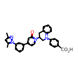 Cc1cc(C)n(-c2cccc(-c3ccn(C(CNc4ccc(C(=O)O)cc4)Cc4ccccc4)c(=O)c3)c2)n1